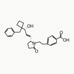 O=C(O)c1ccc(CCN2C(=O)CC[C@@H]2C=C[C@@H](O)C2(Cc3ccccc3)CCC2)cc1